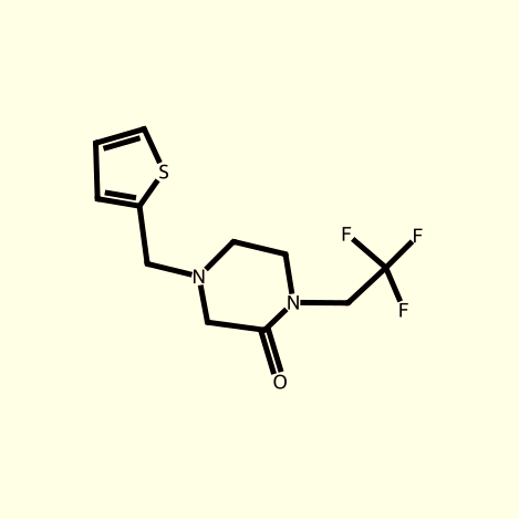 O=C1CN(Cc2cccs2)CCN1CC(F)(F)F